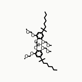 CCCCCCC(C)(C)c1cc(OCOC)c(OBOc2c(OCOC)cc(C(C)(C)CCCCCC)cc2OCOC)c(OCOC)c1